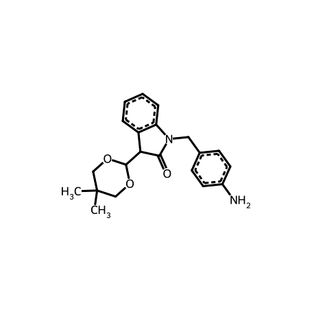 CC1(C)COC(C2C(=O)N(Cc3ccc(N)cc3)c3ccccc32)OC1